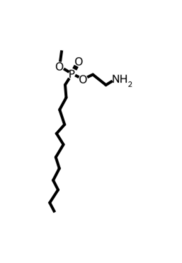 CCCCCCCCCCCCP(=O)(OC)OCCN